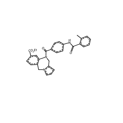 CCOC(=O)c1ccc2c(c1)N(C(=O)c1ccc(NC(=O)c3ccccc3C)cc1)Cc1cccn1C2